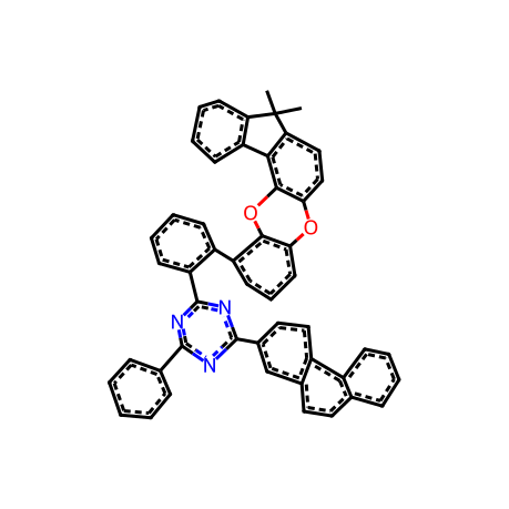 CC1(C)c2ccccc2-c2c1ccc1c2Oc2c(cccc2-c2ccccc2-c2nc(-c3ccccc3)nc(-c3ccc4c(ccc5ccccc54)c3)n2)O1